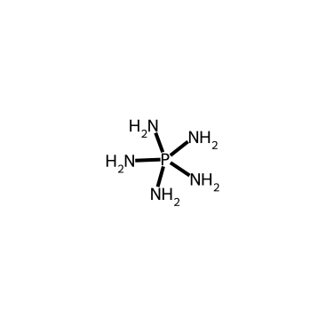 NP(N)(N)(N)N